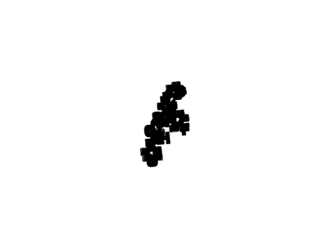 O=C(Cc1csc(-c2cn(CC3CCOC3)nc2-c2ccc(F)cc2)n1)NCC1CCOCC1